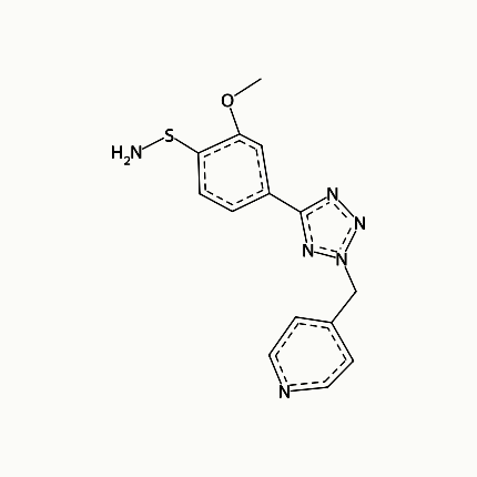 COc1cc(-c2nnn(Cc3ccncc3)n2)ccc1SN